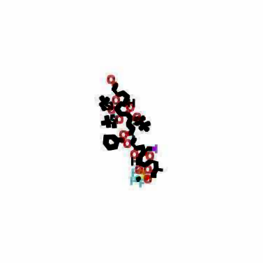 C=C(OS(=O)(=O)C(F)(F)F)[C@H](C)C[C@H]1CC[C@@H]2O[C@@H](CC[C@@H](/C=C/C(O[Si](C)(C)C(C)(C)C)C3O[C@H]4CC[C@H](CC=O)OC4[C@H](O[Si](C)(C)C(C)(C)C)[C@@H]3O[Si](C)(C)C(C)(C)C)OC(=O)c3ccccc3)C[C@]2(CI)O1